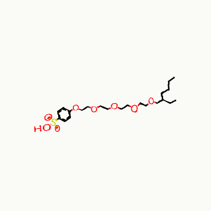 CCCCC(CC)COCCOCCOCCOCCOc1ccc(S(=O)(=O)O)cc1